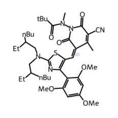 CCCCC(CC)CN(CC(CC)CCCC)c1nc(-c2c(OC)cc(OC)cc2OC)c(/C=C2\C(=O)N(N(C)C(=O)C(C)(C)C)C(=O)C(C#N)=C2C)s1